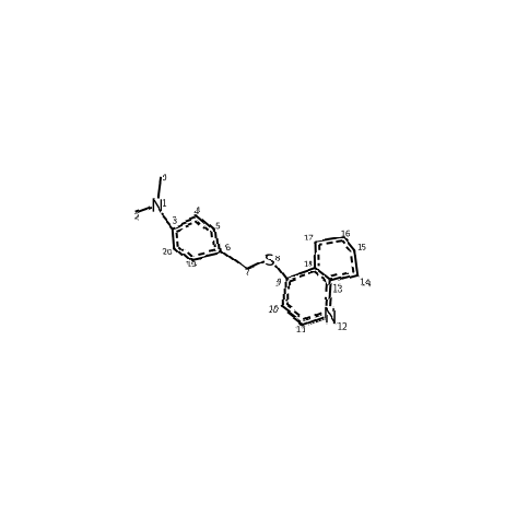 CN(C)c1ccc(CSc2ccnc3ccccc23)cc1